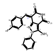 Nc1c2c(nn1-c1ccccc1)/C(=C\c1ccc(F)cc1)C(=O)NC2=O